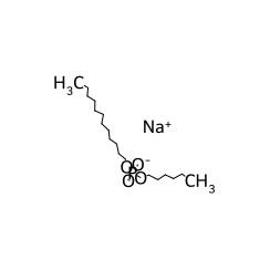 CCCCCCCCCCCCOP(=O)([O-])OCCCCCC.[Na+]